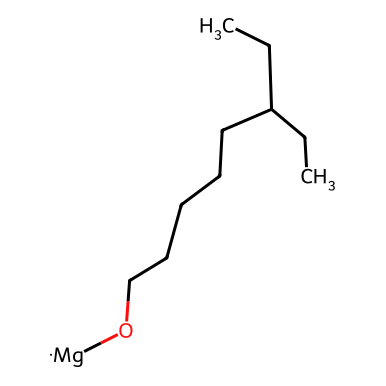 CCC(CC)CCCCC[O][Mg]